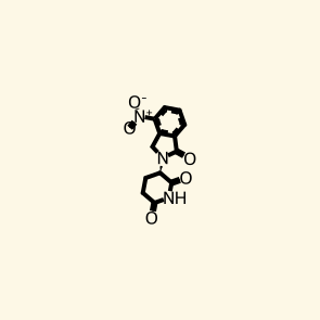 O=C1CC[C@H](N2Cc3c(cccc3[N+](=O)[O-])C2=O)C(=O)N1